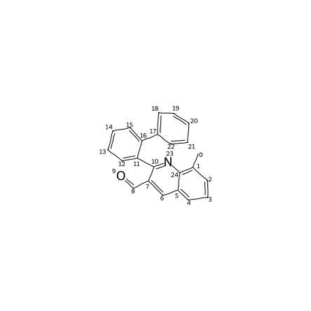 Cc1cccc2cc(C=O)c(-c3ccccc3-c3ccccc3)nc12